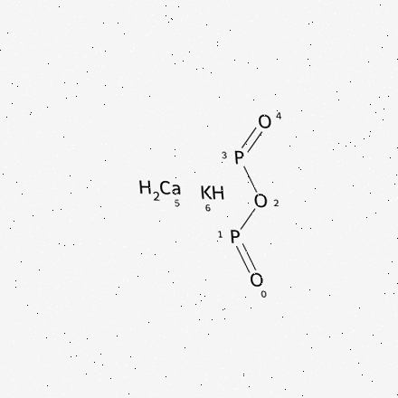 O=POP=O.[CaH2].[KH]